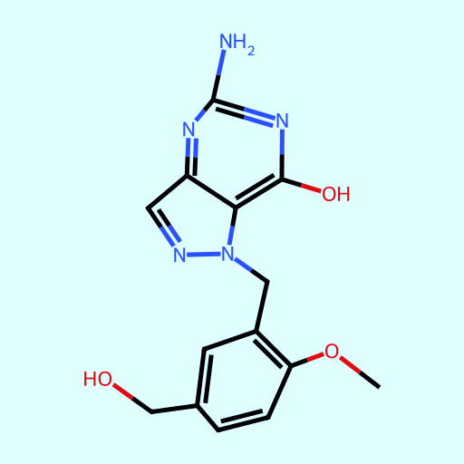 COc1ccc(CO)cc1Cn1ncc2nc(N)nc(O)c21